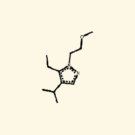 CCc1c(C(C)C)cnn1CCOC